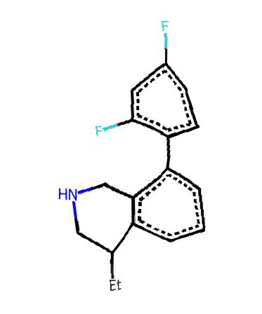 CCC1CNCc2c(-c3ccc(F)cc3F)cccc21